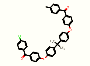 Cc1ccc(C(=O)c2ccc(Oc3ccc(C(c4ccc(Oc5ccc(C(=O)c6ccc(Cl)cc6)cc5)cc4)(C(F)(F)F)C(F)(F)F)cc3)cc2)cc1